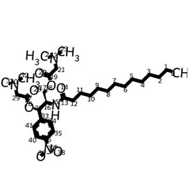 CCCCCCCCCCCCCC(=O)N[C@H](COC(=O)CN(C)C)[C@H](OC(=O)CN(C)C)c1ccc([N+](=O)[O-])cc1